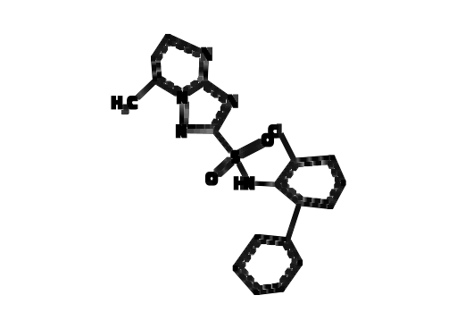 Cc1ccnc2nc(S(=O)(=O)Nc3c(Cl)cccc3-c3ccccc3)nn12